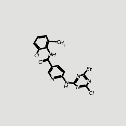 CCc1nc(Cl)nc(Nc2ccc(C(=O)Nc3c(C)cccc3Cl)cn2)n1